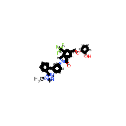 Cn1cnnc1-c1ccccc1-c1cccc(N2Cc3c(cc(CO[C@@H]4CCC[C@H]4O)cc3C(F)(F)F)C2=O)c1